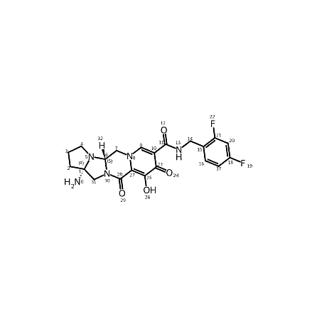 N[C@]12CCCN1[C@@H]1Cn3cc(C(=O)NCc4ccc(F)cc4F)c(=O)c(O)c3C(=O)N1C2